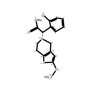 COC(=O)[C@H](c1ccccc1Cl)N1CCc2sc(OS(=O)(=O)O)cc2C1